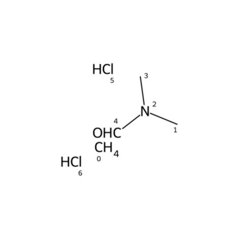 C.CN(C)C=O.Cl.Cl